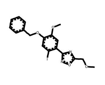 COCc1nc(-c2cc(OC)c(OCc3ccccc3)cc2I)no1